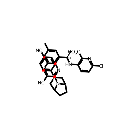 Cc1cc([C@@H](C)Nc2ccc(Cl)nc2C(=O)O)c2nc(N3C4CCC3CN(c3ccc(C#N)cc3)C4)c(C#N)nc2c1